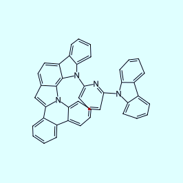 c1cc(-n2c3ccccc3c3ccccc32)nc(-n2c3ccccc3c3ccc4cc5c6ccccc6c6ccccc6n5c4c32)c1